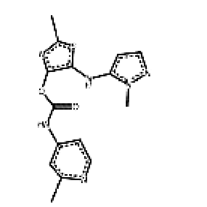 Cc1cc(NC(=O)Oc2nc(C)sc2Nc2ccnn2C)ccn1